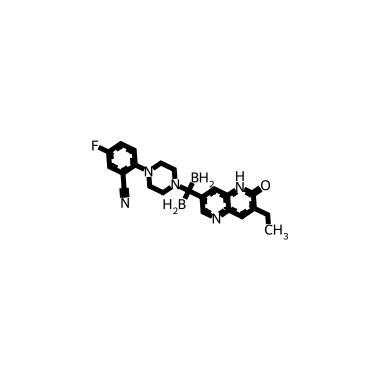 BC(B)(c1cnc2cc(CC)c(=O)[nH]c2c1)N1CCN(c2ccc(F)cc2C#N)CC1